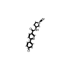 N#CN1CCC(NC(=O)c2ccc(-c3ccc(Cl)cc3)nc2)C1